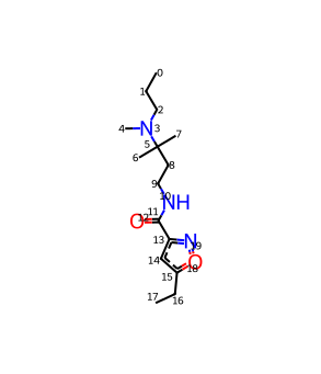 CCCN(C)C(C)(C)CCNC(=O)c1cc(CC)on1